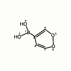 OB(O)C1=COOC=C1